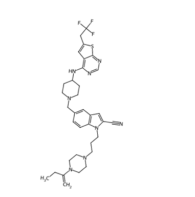 C=C(CC)N1CCN(CCCn2c(C#N)cc3cc(CN4CCC(Nc5ncnc6sc(CC(F)(F)F)cc56)CC4)ccc32)CC1